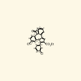 CCOC(=O)c1cc(-c2ccccc2)n(-c2cc(Cl)ccc2CC(=O)NC)c1-c1cccc(Cl)c1